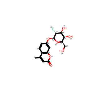 Cc1cc(=O)oc2cc(O[C@@H]3O[C@H](CO)[C@H](O)[C@H](O)[C@H]3F)ccc12